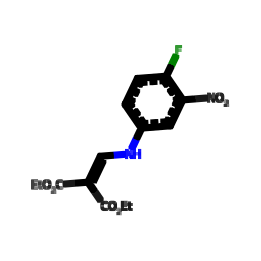 CCOC(=O)C(=CNc1ccc(F)c([N+](=O)[O-])c1)C(=O)OCC